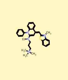 CCN(CCC[N+](C)(C)C)C1=CC(=Cc2sc3ccccc3[n+]2C)c2ccccc2N1c1ccccc1